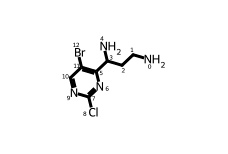 NCCC(N)c1nc(Cl)ncc1Br